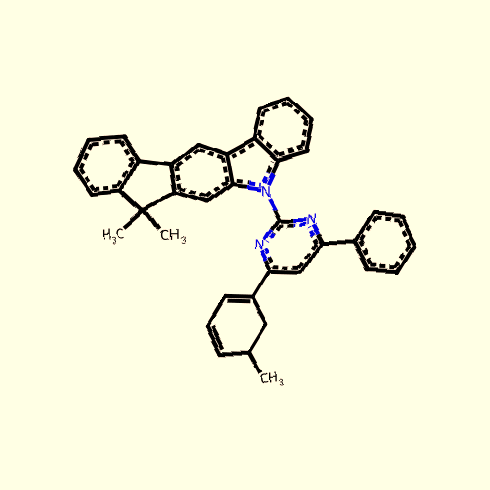 CC1C=CC=C(c2cc(-c3ccccc3)nc(-n3c4ccccc4c4cc5c(cc43)C(C)(C)c3ccccc3-5)n2)C1